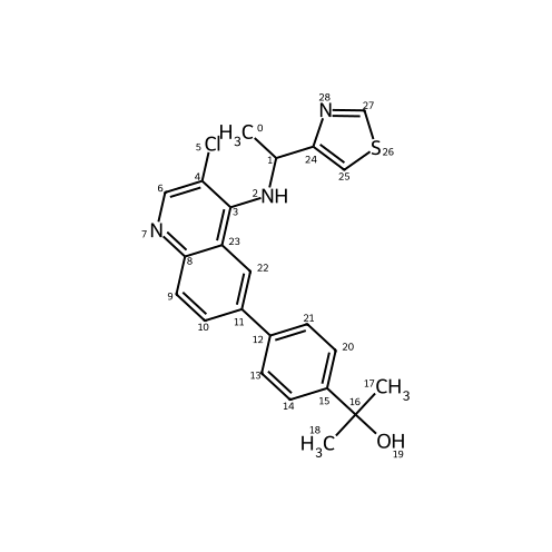 CC(Nc1c(Cl)cnc2ccc(-c3ccc(C(C)(C)O)cc3)cc12)c1cscn1